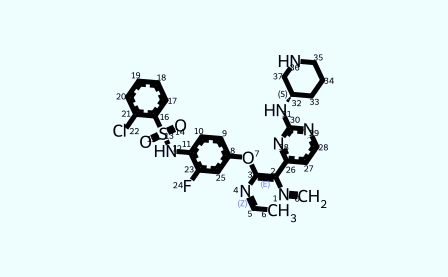 C=N/C(=C(\N=C/C)Oc1ccc(NS(=O)(=O)c2ccccc2Cl)c(F)c1)c1ccnc(N[C@H]2CCCNC2)n1